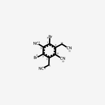 N#CCc1c(Br)c(C#N)c(Br)c(CC#N)c1C#N